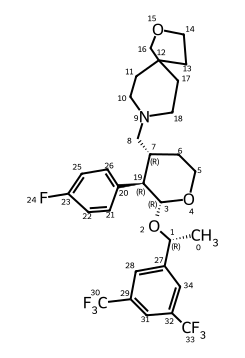 C[C@@H](O[C@H]1OCC[C@@H](CN2CCC3(CCOC3)CC2)[C@@H]1c1ccc(F)cc1)c1cc(C(F)(F)F)cc(C(F)(F)F)c1